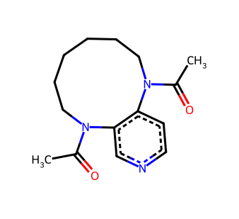 CC(=O)N1CCCCCCN(C(C)=O)c2cnccc21